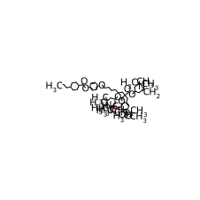 C=C1CC(OC(=O)C(CCCCCCOc2ccc(OC(=O)C3CCC(CCC)CC3)cc2)(Cc2cc(C(C)(C)C)c(O)c(C(C)(C)C)c2)C(=O)OC2CC(C)(C)N(C)C(C)(C)C2)CC(C)(C)N1C